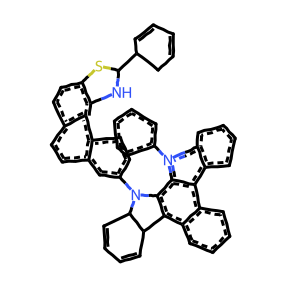 C1=CCC(C2Nc3c(ccc4ccc5cc(N6c7c(c8ccccc8c8c9ccccc9n(-c9ccccc9)c78)C7C=CC=CC76)ccc5c34)S2)C=C1